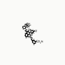 C[C@@H](c1ccc(Cl)cc1Cl)[C@H](C(=O)NOCc1cccc(C(=O)O)c1)c1ccccc1C(=O)CC[C@@H]1CCCC[C@H]1NS(C)(=O)=O